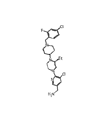 CC[C@H]1CN(c2ncc(CN)cc2Cl)CCN1C1CCN(Cc2ccc(Cl)cc2F)CC1